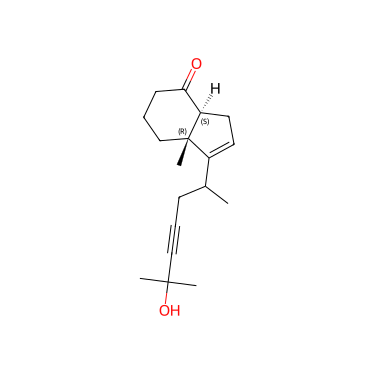 CC(CC#CC(C)(C)O)C1=CC[C@@H]2C(=O)CCC[C@@]12C